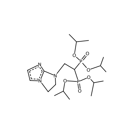 CC(C)OP(=O)(OC(C)C)C(CN1CCn2ccnc21)P(=O)(OC(C)C)OC(C)C